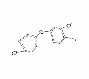 Clc1ccc(Oc2ccc(I)c(Cl)c2)cc1